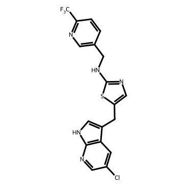 FC(F)(F)c1ccc(CNc2ncc(Cc3c[nH]c4ncc(Cl)cc34)s2)cn1